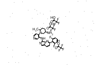 CC1CCC(N)CN1c1ccncc1Nc1ncc2ccc(-c3c(F)cccc3F)nn12.O=C(O)C(F)(F)F.O=C(O)C(F)(F)F.O=C(O)C(F)(F)F